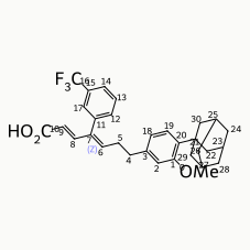 COc1cc(CC/C=C(/C=CC(=O)O)c2cccc(C(F)(F)F)c2)ccc1C12CC3CC(CC(C3)C1)C2